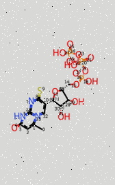 Cc1cc(=O)[nH]c2nc(=S)c([C@@H]3O[C@H](COP(=O)(O)OP(=O)(O)OP(=O)(O)O)C(O)[C@@H]3O)cn12